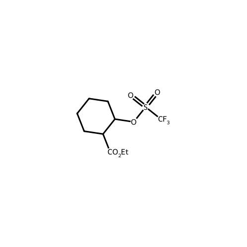 CCOC(=O)C1CCCCC1OS(=O)(=O)C(F)(F)F